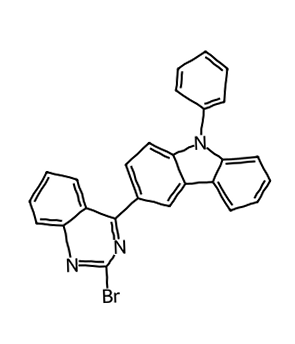 Brc1nc(-c2ccc3c(c2)c2ccccc2n3-c2ccccc2)c2ccccc2n1